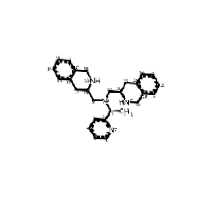 C[C@@H](c1ccccn1)N(CC1Cc2ccccc2CN1)CC1Cc2ccccc2CN1